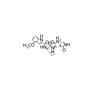 COc1cccc2[nH]c(C(=O)N[C@@H](CC3CCC3)C(=O)N[C@@H](C[C@@H]3CCNC3=O)C(N)=O)cc12